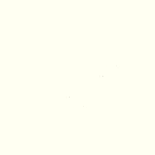 CCCCCC(=O)OCC[C@@H](C)OC(=O)CCCCC